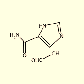 NC(=O)c1cnc[nH]1.O=CO